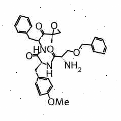 COc1ccc(C[C@H](NC(=O)[C@@H](N)COCc2ccccc2)C(=O)NC(Cc2ccccc2)C(=O)[C@@]2(C)CO2)cc1